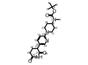 CN(C(=O)OC(C)(C)C)C1CCN(c2ccc(C3CCC(=O)NC3=O)cn2)CC1